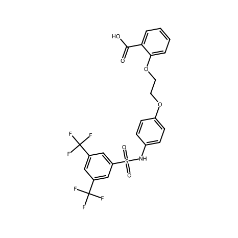 O=C(O)c1ccccc1OCCOc1ccc(NS(=O)(=O)c2cc(C(F)(F)F)cc(C(F)(F)F)c2)cc1